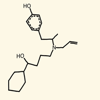 C=CCN(CCCC(O)C1CCCCC1)C(C)Cc1ccc(O)cc1